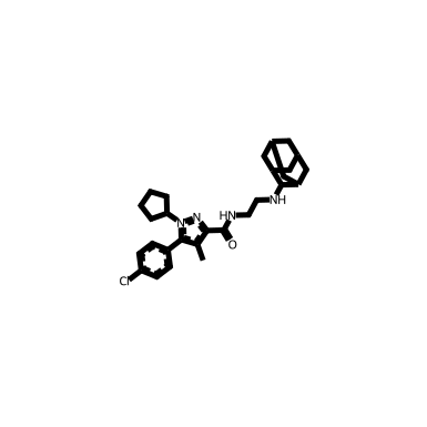 Cc1c(C(=O)NCCNC2C3CC4CC(C3)CC2C4)nn(C2CCCC2)c1-c1ccc(Cl)cc1